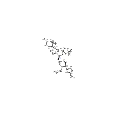 COc1cc(/C=C2\CC3(CCS(=O)(=O)C3)CN3C2=NOC3(CO)c2ccc(F)cc2)ccc1-n1cnc(C)c1